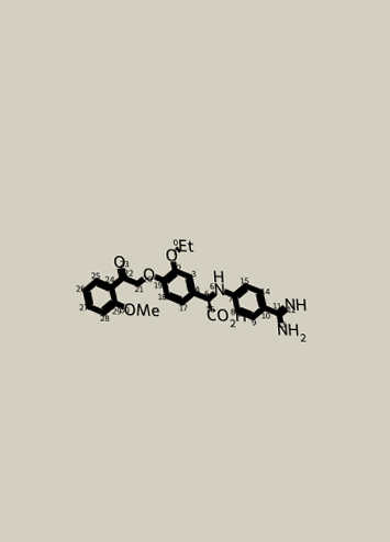 CCOc1cc([C@@H](Nc2ccc(C(=N)N)cc2)C(=O)O)ccc1OCC(=O)c1ccccc1OC